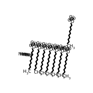 CCCCCCCCCCCCOS(=O)(=O)O.CCCCCCCCCCCCOS(=O)(=O)O.CCCCCCCCCCCCOS(=O)(=O)[O-].CCCCCCCCCCCCOS(=O)(=O)[O-].CCCCCCCCCCCCOS(=O)(=O)[O-].CCCCCCCCCCCCOS(=O)(=O)[O-].CCCCCCCCCCCCOS(=O)(=O)[O-].CCCCCCCCCCCCOS(=O)(=O)[O-].[Na+].[Na+].[Na+].[Na+].[Na+].[Na+]